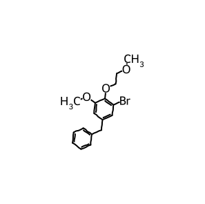 COCCOc1c(Br)cc(Cc2ccccc2)cc1OC